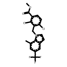 COC(=O)c1ccc(Cl)c(Cn2ccc3cc(C(F)(F)F)cc(C)c32)c1Cl